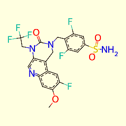 COc1cc2ncc3c(c2cc1F)CN(Cc1c(F)cc(S(N)(=O)=O)cc1F)C(=O)N3CC(F)(F)F